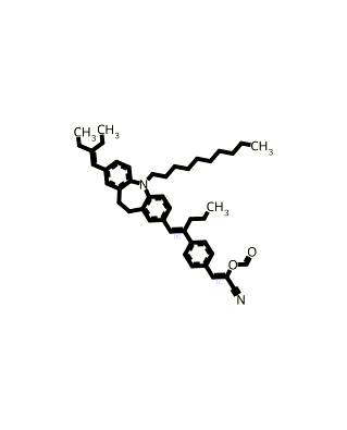 CCCCCCCCCCN1c2ccc(C=C(CC)CC)cc2CCc2cc(/C=C(\CCC)c3ccc(/C=C(/C#N)OC=O)cc3)ccc21